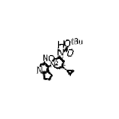 CC(C)(C)OC(=O)N[C@H]1C[C@@H](C2CC2)CN(c2c([N+](=O)[O-])cnc3c2CCC3)C1